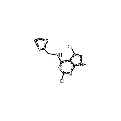 Clc1nc(NCc2nccs2)c2c(Cl)c[nH]c2n1